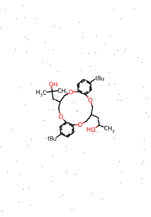 CC(O)CC1COc2cc(C(C)(C)C)ccc2OCC(CC(C)(C)O)COc2cc(C(C)(C)C)ccc2OC1